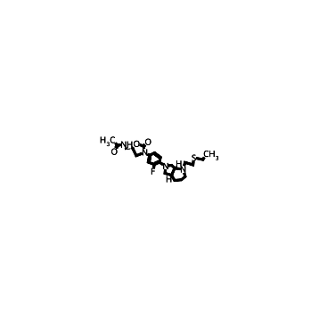 CCSCCN1CCC[C@@H]2CN(c3ccc(N4C[C@H](CNC(C)=O)OC4=O)cc3F)C[C@@H]21